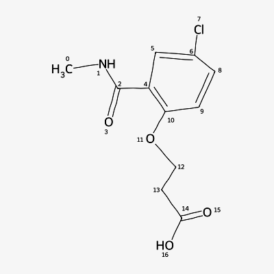 CNC(=O)c1cc(Cl)ccc1OCCC(=O)O